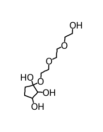 OCCOCCOCCOC1(O)CCC(O)C1O